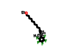 CCOCCCCCCCCCCC#C[Si](C)(C)c1c(F)c(F)c(F)c(F)c1F